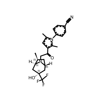 Cc1cc(C(=O)CN2[C@@H]3C[C@H](C)[C@@H]2C[C@](O)(C(F)(F)F)C3)c(C)n1-c1ccc(C#N)cc1